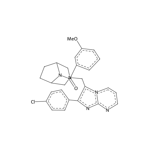 COc1cccc(C(=O)N2C3CCC2CN(Cc2c(-c4ccc(Cl)cc4)nc4ncccn24)C3)c1